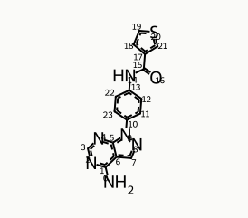 Nc1ncnc2c1cnn2-c1ccc(NC(=O)c2ccsc2)cc1